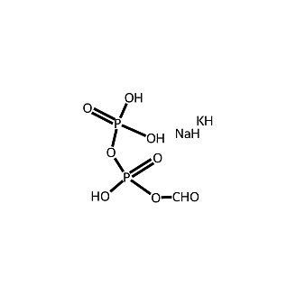 O=COP(=O)(O)OP(=O)(O)O.[KH].[NaH]